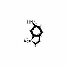 CC(=O)N1CCc2ccc([NH])cc21